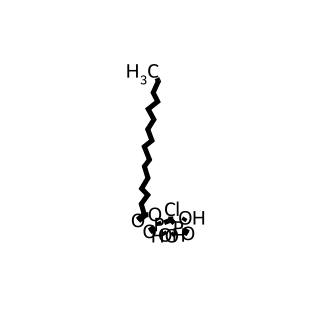 CCCCCCCCCCCCCCCC(=O)OP(=O)(O)C(Cl)P(=O)(O)O